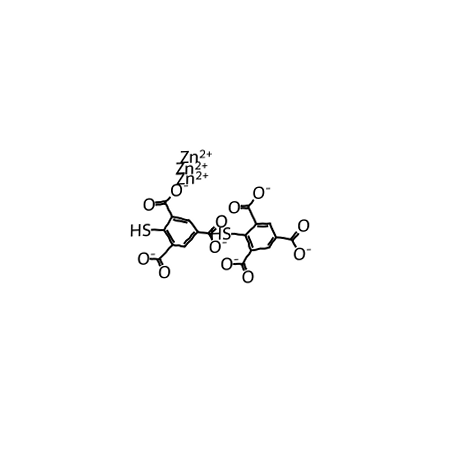 O=C([O-])c1cc(C(=O)[O-])c(S)c(C(=O)[O-])c1.O=C([O-])c1cc(C(=O)[O-])c(S)c(C(=O)[O-])c1.[Zn+2].[Zn+2].[Zn+2]